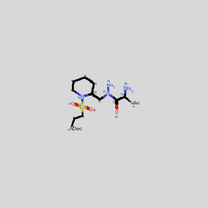 CCCCCCCCCCCCS(=O)(=O)N1CCCCC1CN(N)C(=O)C(N)CCCC